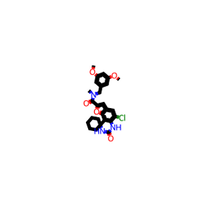 COc1cc(CN(C)C(=O)c2cc3cc(Cl)c4c(c3o2)C2(CCCCC2)NC(=O)N4)cc(OC)c1